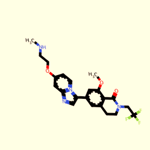 CNCCOc1ccn2c(-c3cc4c(c(OC)c3)C(=O)N(CC(F)(F)F)CC4)cnc2c1